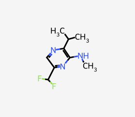 CNc1nc(C(F)F)cnc1C(C)C